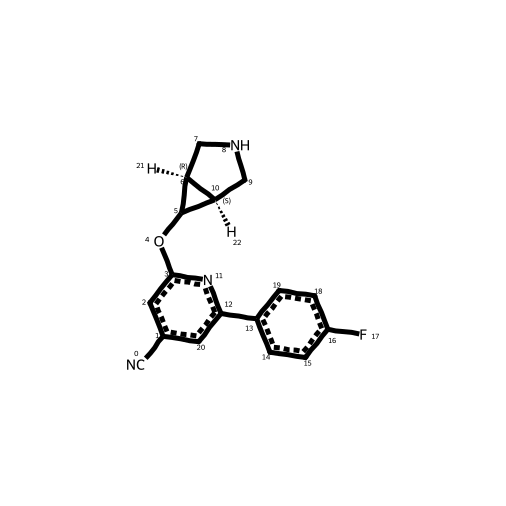 N#Cc1cc(OC2[C@H]3CNC[C@@H]23)nc(-c2ccc(F)cc2)c1